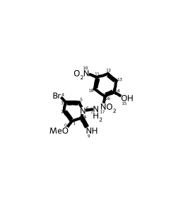 COc1cc(Br)cn(N)c1=N.O=[N+]([O-])c1ccc(O)c([N+](=O)[O-])c1